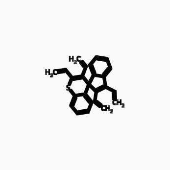 C=CC1=C(C=C)C2(C(C=C)=C(C=C)c3ccccc32)c2ccccc2S1